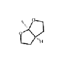 C[C@]12OCC[C@H]1CCO2